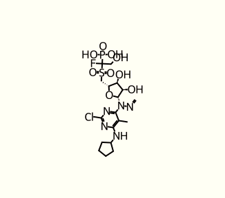 C=NN(c1nc(Cl)nc(NC2CCCC2)c1C)[C@@H]1O[C@H](CS(=O)(=O)C(F)(CO)P(=O)(O)O)[C@@H](O)[C@H]1O